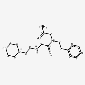 NC(=O)CN(CCc1ccccc1)C(=O)CNCCN1CCOCC1